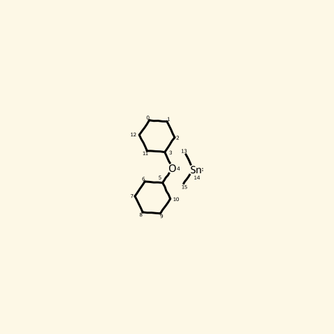 C1CCC(OC2CCCCC2)CC1.[CH3][Sn][CH3]